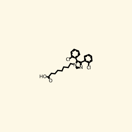 O=C(O)CCCCCCCn1cnc(-c2ccccc2Cl)c1-c1ccccc1Cl